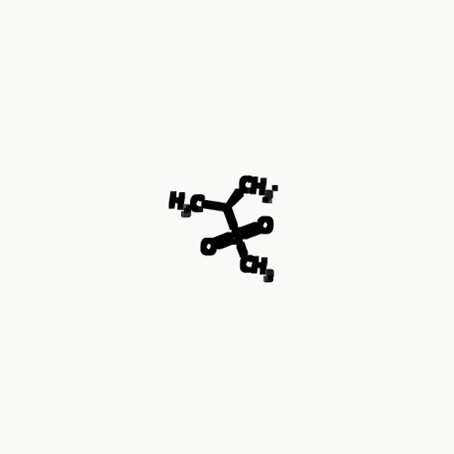 [CH2][C@H](C)S(C)(=O)=O